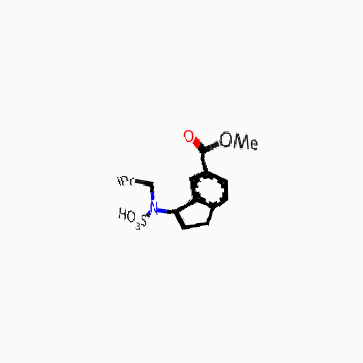 COC(=O)c1ccc2c(c1)C(N(CC(C)C)S(=O)(=O)O)CC2